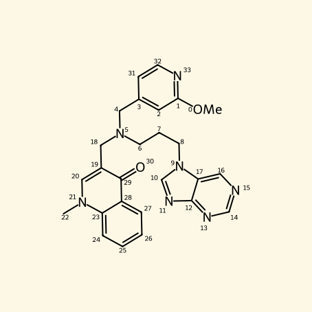 COc1cc(CN(CCCn2cnc3ncncc32)Cc2cn(C)c3ccccc3c2=O)ccn1